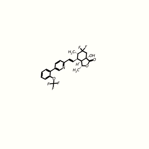 C[C@H]1OC(=O)[C@]2(O)CC(F)(F)[C@@H](C)[C@H](/C=C/c3ccc(-c4ccccc4OC(F)(F)F)cn3)[C@H]12